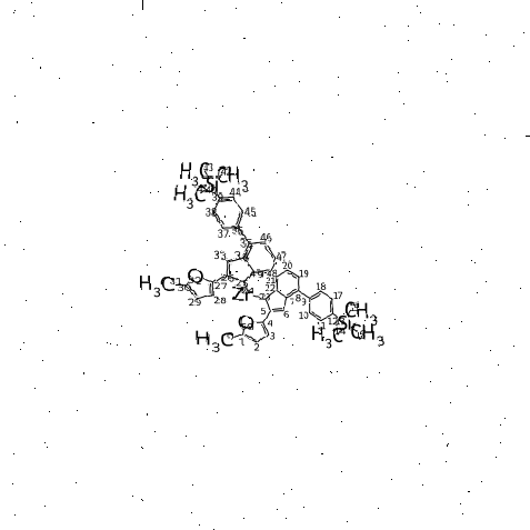 Cc1ccc(C2=Cc3c(-c4ccc([Si](C)(C)C)cc4)cccc3[CH]2[Zr][CH]2C(c3ccc(C)o3)=Cc3c(-c4ccc([Si](C)(C)C)cc4)cccc32)o1